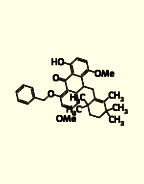 COc1cc(OCc2ccccc2)c2c(c1)C(CC1=C(C)C(C)(C)CCC1(C)C)c1c(OC)ccc(O)c1C2=O